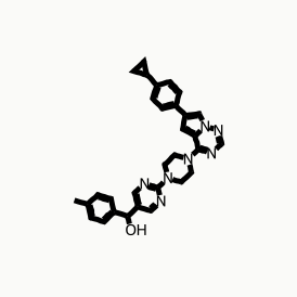 Cc1ccc(C(O)c2cnc(N3CCN(c4ncnn5cc(-c6ccc(C7CC7)cc6)cc45)CC3)nc2)cc1